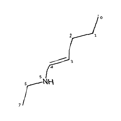 [CH2]CC/C=C/NCC